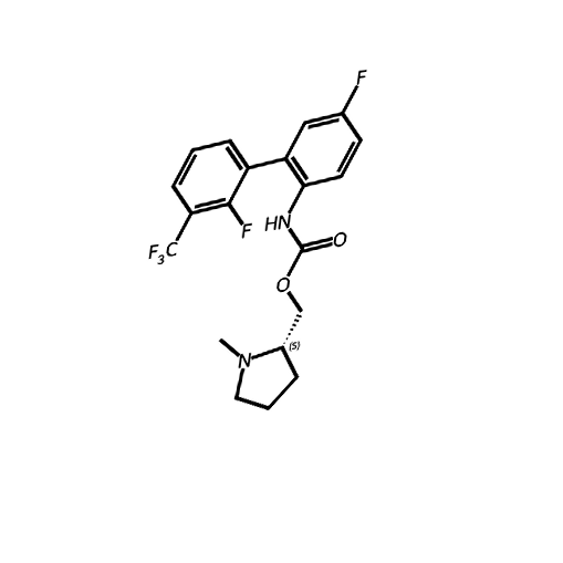 CN1CCC[C@H]1COC(=O)Nc1ccc(F)cc1-c1cccc(C(F)(F)F)c1F